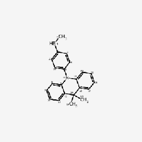 CBc1ccc(N2c3ccccc3C(C)(C)c3ccccc32)cc1